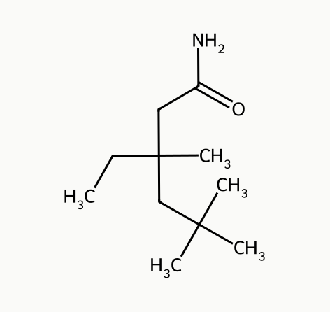 CCC(C)(CC(N)=O)CC(C)(C)C